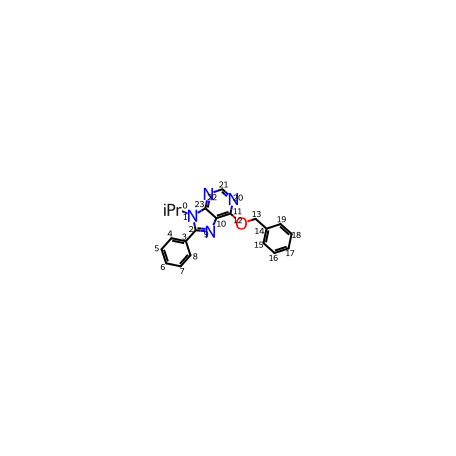 CC(C)n1c(-c2ccccc2)nc2c(OCc3ccccc3)ncnc21